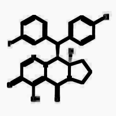 O=C1c2c(O)c(=O)cnn2[C@@H](C(c2ccc(Cl)cc2)c2cccc(F)c2)[C@H]2CCCN12